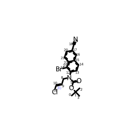 CC(C)(C)OC(=O)N(C/C=C/Cl)c1ccc2cc(C#N)ccc2c1Br